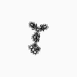 c1ccc2c(c1)Sc1ccccc1C21c2ccccc2-c2cc(-c3cnc4c(ccc5cc(-c6cc(-c7nc8ccccc8s7)cc(-c7nc8ccccc8s7)c6)cnc54)c3)ccc21